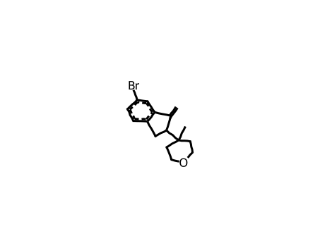 C=C1c2cc(Br)ccc2CC1C1(C)CCOCC1